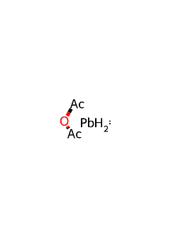 CC(=O)OC(C)=O.[PbH2]